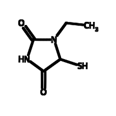 CCN1C(=O)NC(=O)C1S